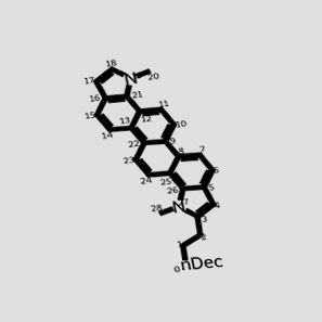 CCCCCCCCCCCCc1cc2ccc3c4ccc5c(ccc6ccn(C)c65)c4ccc3c2n1C